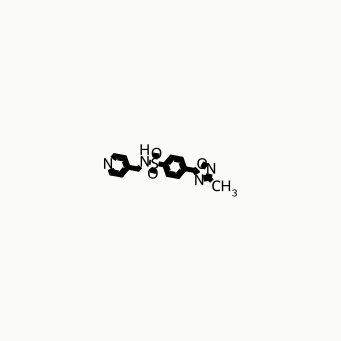 Cc1noc(-c2ccc(S(=O)(=O)NCc3ccncc3)cc2)n1